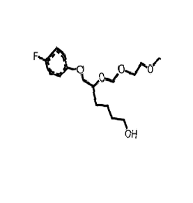 COCCOCOC(CCCCO)COc1ccc(F)cc1